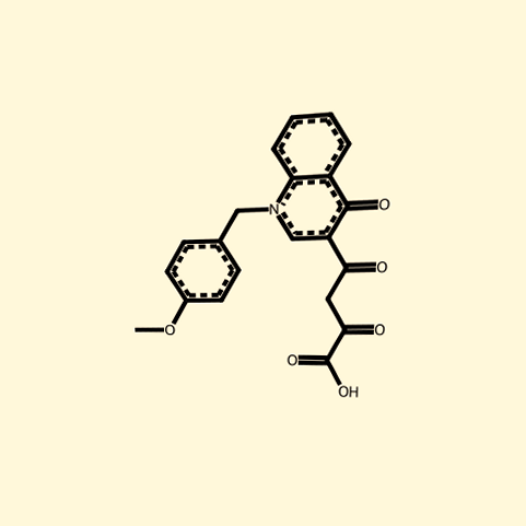 COc1ccc(Cn2cc(C(=O)CC(=O)C(=O)O)c(=O)c3ccccc32)cc1